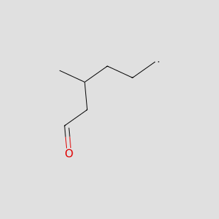 [CH2]CCC(C)CC=O